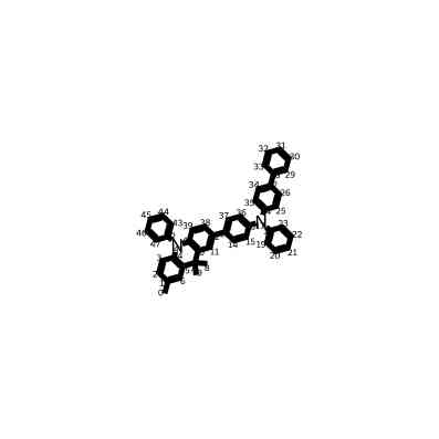 Cc1ccc2c(c1)C(C)(C)c1cc(-c3ccc(N(c4ccccc4)c4ccc(-c5ccccc5)cc4)cc3)ccc1N2c1ccccc1